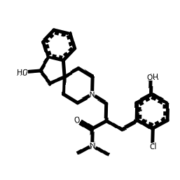 CN(C)C(=O)C(Cc1cc(O)ccc1Cl)CN1CCC2(CC1)CC(O)c1ccccc12